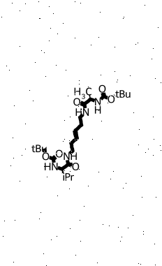 CC(C)[C@@H](NC(=O)OC(C)(C)C)C(=O)NCCC=CCCNC(=O)[C@H](C)NC(=O)OC(C)(C)C